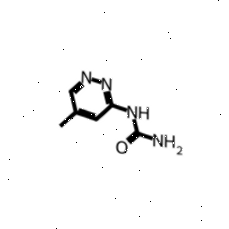 Cc1cnnc(NC(N)=O)c1